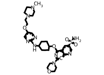 CN1CCN(CCOc2cnc(NC3CCC(Oc4nc(N5CCOCC5)cc5ncc(S(N)(=O)=O)cc45)CC3)nc2)CC1